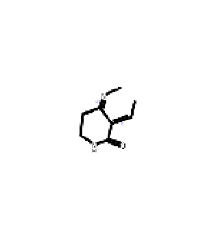 C/C=C1/C(=O)NCC/C1=N/C